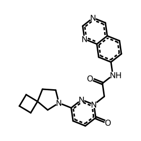 O=C(Cn1nc(N2CCC3(CCC3)C2)ccc1=O)Nc1ccc2cncnc2c1